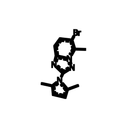 Cc1ccc(C)n1-c1nc2ccc(Br)c(C)n2n1